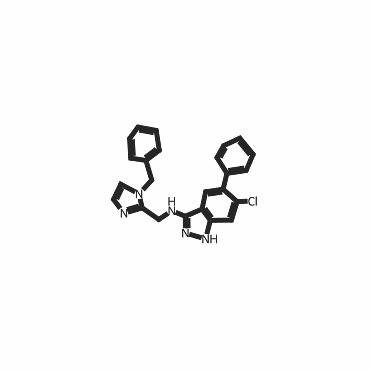 Clc1cc2[nH]nc(NCc3nccn3Cc3ccccc3)c2cc1-c1ccccc1